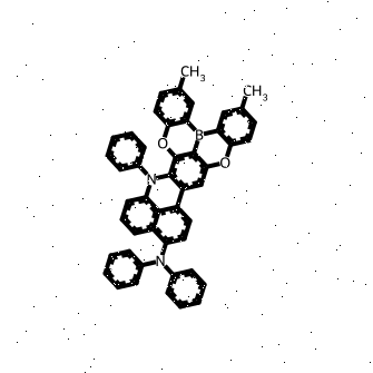 Cc1ccc2c(c1)B1c3cc(C)ccc3Oc3c1c(cc1c3N(c3ccccc3)c3cccc4c(N(c5ccccc5)c5ccccc5)ccc-1c34)O2